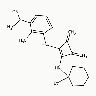 C=C1C(=C)C(NC2(CC)CCCCC2)=C1Nc1cccc(C(C)N=O)c1C